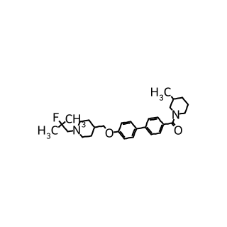 CC1CCCN(C(=O)c2ccc(-c3ccc(OCC4CCN(CC(C)(C)F)CC4)cc3)cc2)C1